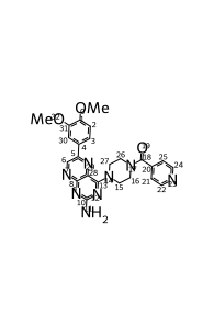 COc1ccc(-c2cnc3nc(N)nc(N4CCN(C(=O)c5ccncc5)CC4)c3n2)cc1OC